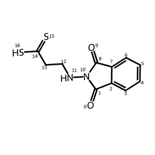 O=C1c2ccccc2C(=O)N1NCCC(=S)S